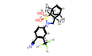 N#Cc1ccc(N2C[C@@H]3[C@@H]([C@@H]4C=C[C@H]3C4)S2(O)O)cc1C(F)(F)F